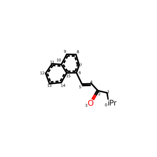 CC(C)CC(=O)C=Cc1cccc2ccccc12